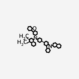 C=Cc1cc(N(c2ccc(-c3ccc4c(c3)c3ccccc3n4-c3ccc4ccccc4c3)cc2)c2ccc3oc4ccccc4c3c2)c2ccccc2c1C=C